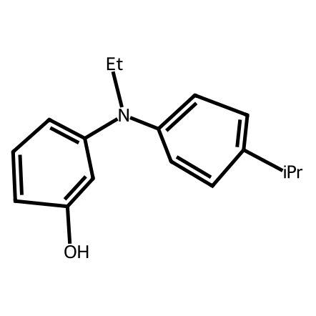 CCN(c1ccc(C(C)C)cc1)c1cccc(O)c1